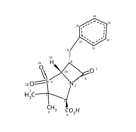 CC1(C)[C@H](C(=O)O)N2C(=O)[C@@H](Cc3ccccc3)[C@H]2S1(=O)=O